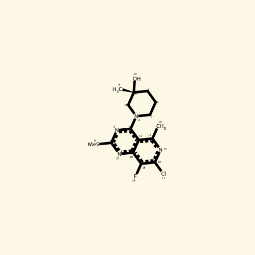 CSc1nc(N2CCC[C@@](C)(O)C2)c2c(C)nc(Cl)c(F)c2n1